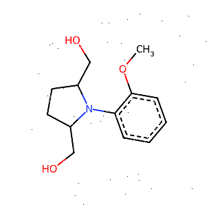 COc1ccccc1N1C(CO)CCC1CO